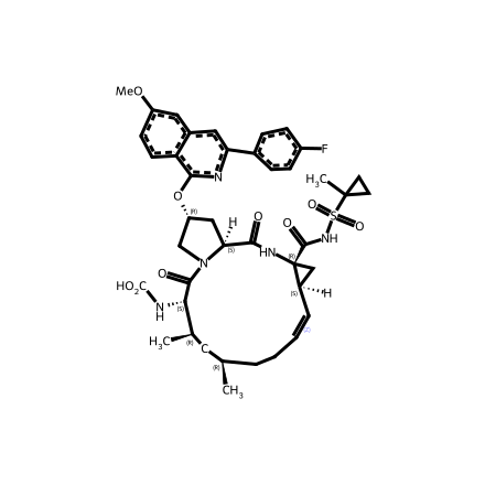 COc1ccc2c(O[C@@H]3C[C@H]4C(=O)N[C@]5(C(=O)NS(=O)(=O)C6(C)CC6)C[C@H]5/C=C\CC[C@@H](C)C[C@@H](C)[C@H](NC(=O)O)C(=O)N4C3)nc(-c3ccc(F)cc3)cc2c1